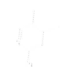 CCc1cc(C#N)ncc1C